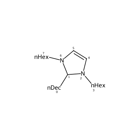 CCCCCCCCCCC1N(CCCCCC)C=CN1CCCCCC